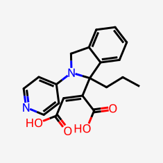 CCCC1(C(=CC(=O)O)C(=O)O)c2ccccc2CN1c1ccncc1